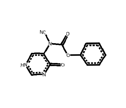 N#CN(C(=O)Oc1ccccc1)c1c[nH]cnc1=O